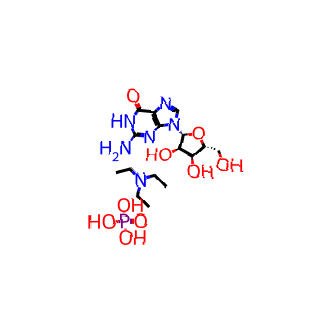 CCN(CC)CC.Nc1nc2c(ncn2[C@@H]2O[C@H](CO)[C@@H](O)[C@H]2O)c(=O)[nH]1.O=P(O)(O)O